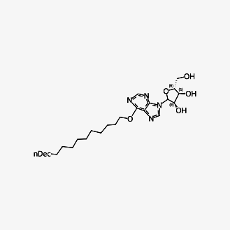 CCCCCCCCCCCCCCCCCCCCOc1ncnc2c1ncn2C1O[C@H](CO)[C@@H](O)[C@H]1O